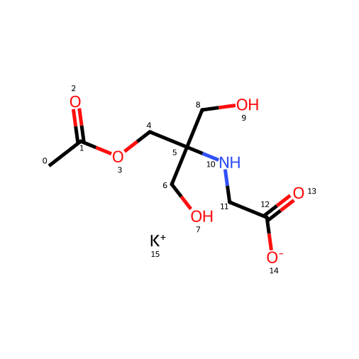 CC(=O)OCC(CO)(CO)NCC(=O)[O-].[K+]